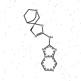 c1cn2nc(NC3=NC[C@@]4(CN5CCC4CC5)O3)nc2cn1